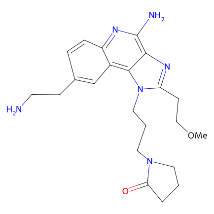 COCCc1nc2c(N)nc3ccc(CCN)cc3c2n1CCCN1CCCC1=O